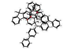 CC1(C)c2ccccc2-c2ccc(-c3ccccc3N(c3ccc(-c4ccccc4)cc3)C3C=CC=C[C@@]3(C)N(c3ccc(-c4ccccc4)cc3)c3ccccc3-c3ccc4c(c3)C(C)(C)c3ccccc3-4)cc21